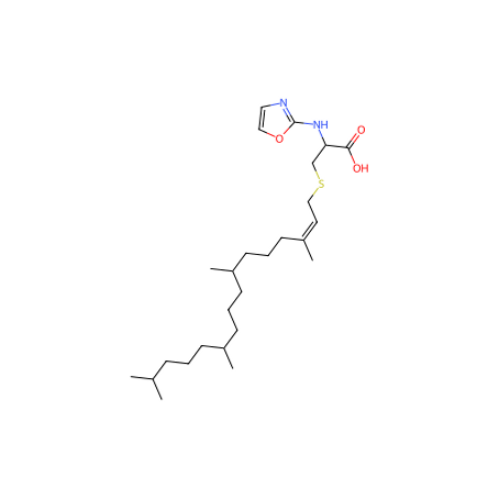 CC(=CCSCC(Nc1ncco1)C(=O)O)CCCC(C)CCCC(C)CCCC(C)C